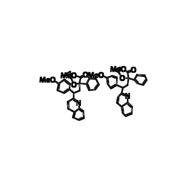 COC(=O)C(CC(c1ccc(OC)cc1)c1ccc2ccccc2n1)(OC1CC1)c1ccccc1.COC(=O)C(CC(c1ccc(OC)cc1)c1ccc2ccccc2n1)(OC1CC1)c1ccccc1